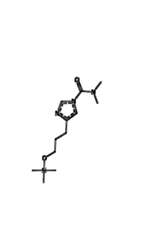 CN(C)C(=O)n1cnc(CCCO[Si](C)(C)C)c1